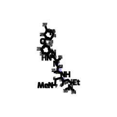 CCC(C/C(C)=C(/CCNC)N/C(C)=C/N=C(\C)c1nc2cc(OC3=CC=N[C@H](C)C3)ccc2[nH]1)N(C)C